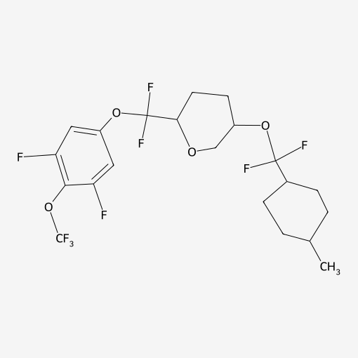 CC1CCC(C(F)(F)OC2CCC(C(F)(F)Oc3cc(F)c(OC(F)(F)F)c(F)c3)OC2)CC1